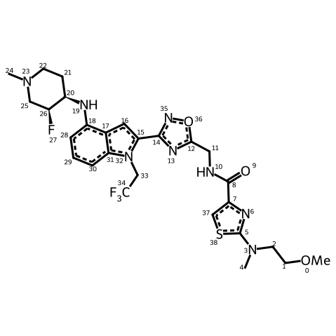 COCCN(C)c1nc(C(=O)NCc2nc(-c3cc4c(N[C@@H]5CCN(C)C[C@@H]5F)cccc4n3CC(F)(F)F)no2)cs1